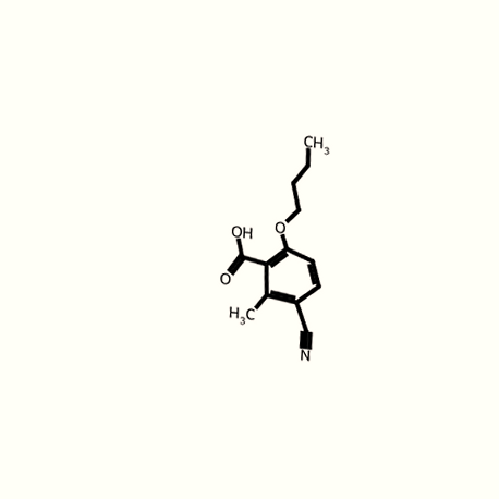 CCCCOc1ccc(C#N)c(C)c1C(=O)O